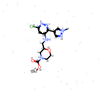 Cn1cc(-c2nnc(Cl)cc2NCC2CN(C(=O)OC(C)(C)C)CCO2)cn1